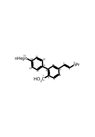 CCCC=Cc1ccc(C(=O)O)c(-c2ccc(CCCCCCC)cc2)c1